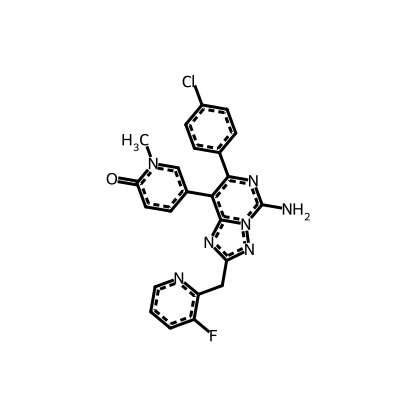 Cn1cc(-c2c(-c3ccc(Cl)cc3)nc(N)n3nc(Cc4ncccc4F)nc23)ccc1=O